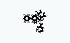 CCC(=O)N(CC(C)C)C1(C(=O)NCc2cccnc2)C=CC(c2ccccc2)=CC1